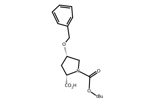 CC(C)(C)OC(=O)N1C[C@@H](OCc2ccccc2)C[C@H]1C(=O)O